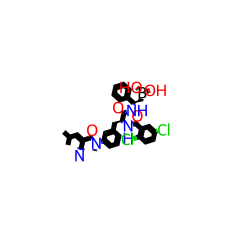 CC(C)C=C(C#N)C(=O)N(C)c1cccc(C[C@H](NC(=O)c2cc(Cl)ccc2Cl)C(=O)N[C@H](CB(O)O)c2ccccc2)c1